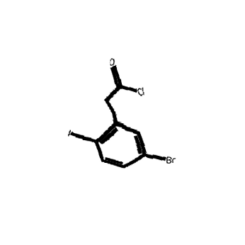 O=C(Cl)Cc1cc(Br)ccc1I